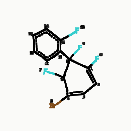 FC1=CC=C(Br)C(F)C1(F)c1ccccc1F